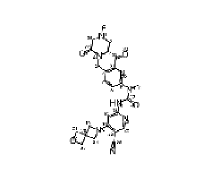 CN1CCN(Cc2ccc(N(C)C(=O)Nc3cc(N4CC5(COC5)C4)c(C#N)cn3)nc2C=O)C(=O)C1